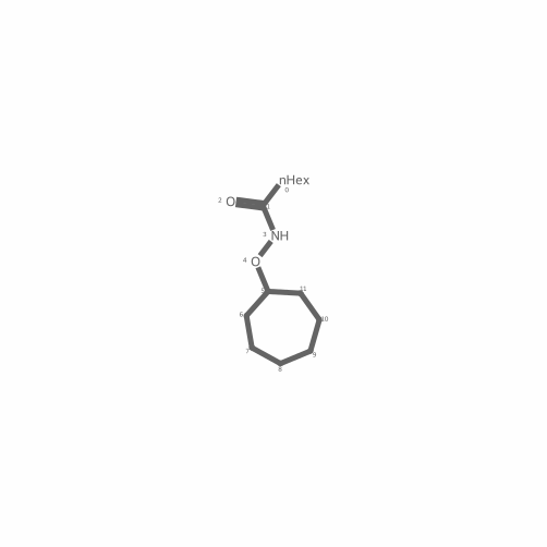 CCCCCCC(=O)NOC1CCCCCC1